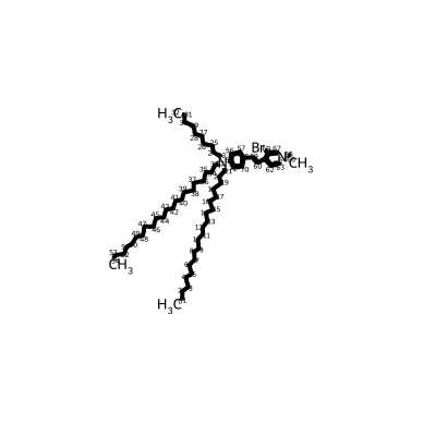 CCCCCCCCCCCCCCCCCCCCCC[N+](CCCCCCCCCC)(CCCCCCCCCCCCCCCCCCCCCC)c1ccc(C=Cc2cc[n+](CC)cc2Br)cc1